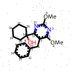 COc1nc(OC)c(Cc2ccccc2)c(C2(O)CCCCC2)n1